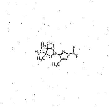 Cc1cn(C(F)F)nc1B1OC(C)(C)C(C)(C)O1